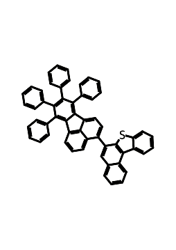 c1ccc(-c2c(-c3ccccc3)c(-c3ccccc3)c3c(c2-c2ccccc2)-c2cccc4c(-c5cc6ccccc6c6c5sc5ccccc56)ccc-3c24)cc1